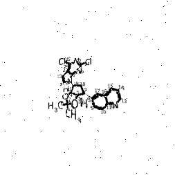 CC1(C)O[C@@H]2[C@H](O1)[C@@H](c1ccc3ncccc3c1)C[C@H]2n1ccc2c(Cl)nc(Cl)nc21